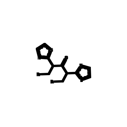 O=C(C(CBr)c1nccs1)C(CBr)c1nccs1